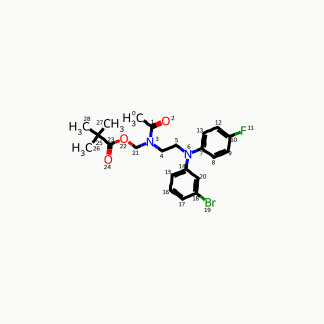 CC(=O)N(CCN(c1ccc(F)cc1)c1cccc(Br)c1)COC(=O)C(C)(C)C